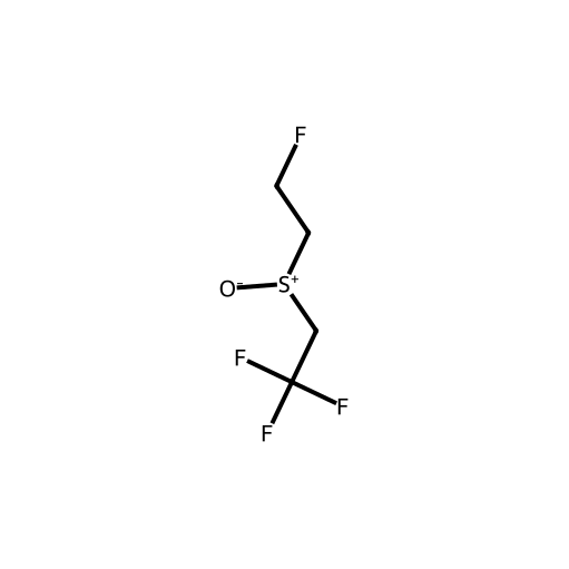 [O-][S+](CCF)CC(F)(F)F